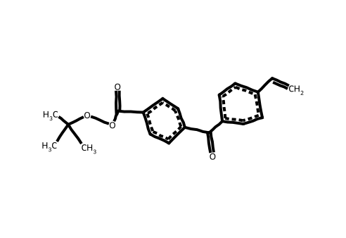 C=Cc1ccc(C(=O)c2ccc(C(=O)OOC(C)(C)C)cc2)cc1